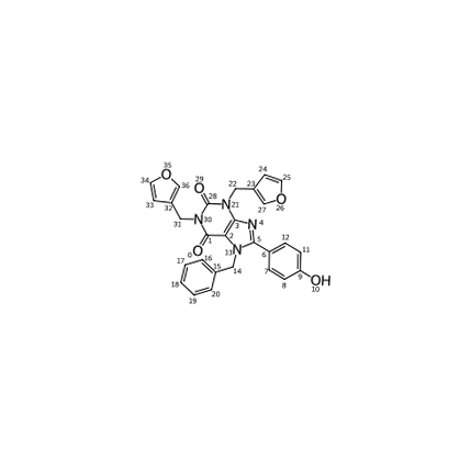 O=c1c2c(nc(-c3ccc(O)cc3)n2Cc2ccccc2)n(Cc2ccoc2)c(=O)n1Cc1ccoc1